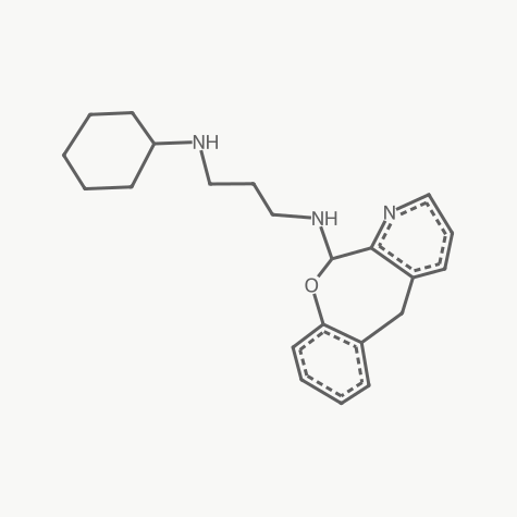 c1ccc2c(c1)Cc1cccnc1C(NCCCNC1CCCCC1)O2